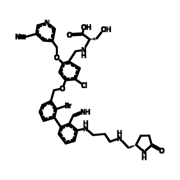 N#Cc1cncc(COc2cc(OCc3cccc(-c4cccc(NCCCNC[C@@H]5CCC(=O)N5)c4C=N)c3Br)c(Cl)cc2CN[C@@H](CO)C(=O)O)c1